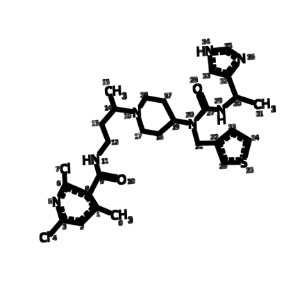 Cc1cc(Cl)nc(Cl)c1C(=O)NCCC(C)N1CCC(N(Cc2ccsc2)C(=O)NC(C)c2c[nH]cn2)CC1